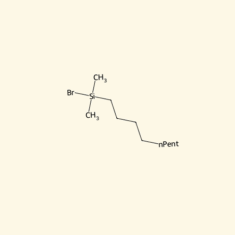 CCCCCCCCC[Si](C)(C)Br